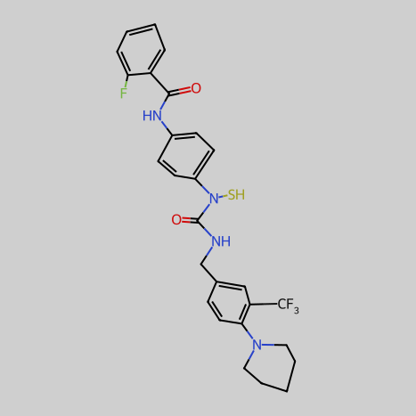 O=C(Nc1ccc(N(S)C(=O)NCc2ccc(N3CCCCC3)c(C(F)(F)F)c2)cc1)c1ccccc1F